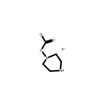 O=C([O-])ON1CCNCC1.[K+]